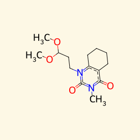 COC(CCn1c2c(c(=O)n(C)c1=O)CCCC2)OC